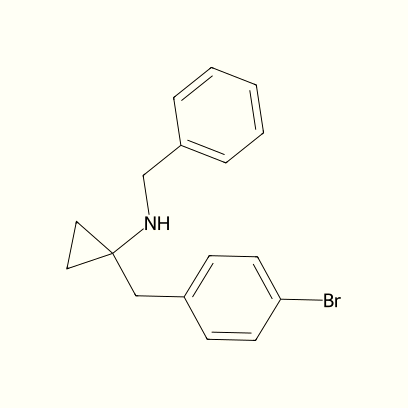 Brc1ccc(CC2(NCc3ccccc3)CC2)cc1